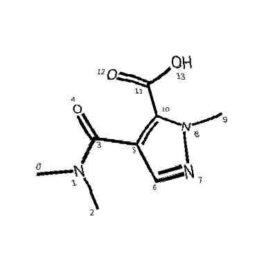 CN(C)C(=O)c1cnn(C)c1C(=O)O